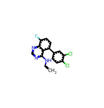 C=CNc1ncnc2c(F)ccc(-c3ccc(Cl)c(Cl)c3)c12